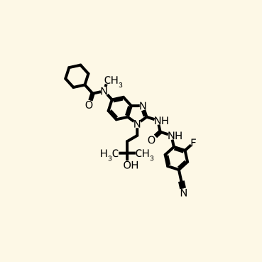 CN(C(=O)C1CCCCC1)c1ccc2c(c1)nc(NC(=O)Nc1ccc(C#N)cc1F)n2CCC(C)(C)O